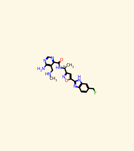 CNCc1c(N)ncnc1C(=O)N[C@@H](C)c1cc(-c2nc3ccc(CF)cc3[nH]2)on1